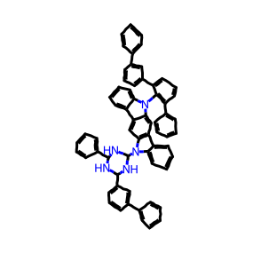 c1ccc(-c2cccc(-c3cccc(-c4ccccc4)c3-n3c4ccccc4c4cc5c(cc43)c3ccccc3n5C3NC(c4ccccc4)NC(c4cccc(-c5ccccc5)c4)N3)c2)cc1